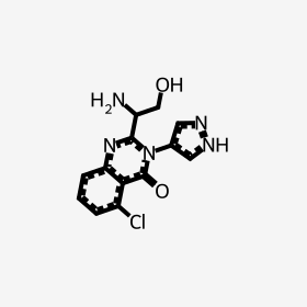 NC(CO)c1nc2cccc(Cl)c2c(=O)n1-c1cn[nH]c1